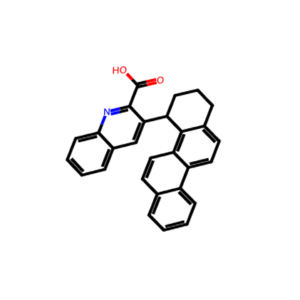 O=C(O)c1nc2ccccc2cc1C1CCCc2ccc3c(ccc4ccccc43)c21